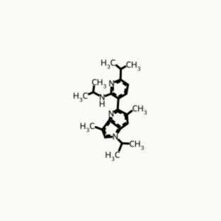 Cc1cc2c(nc1-c1ccc(C(C)C)nc1NC(C)C)c(C)cn2C(C)C